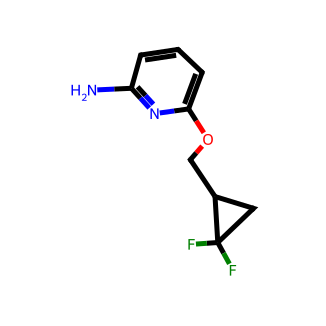 Nc1cccc(OCC2CC2(F)F)n1